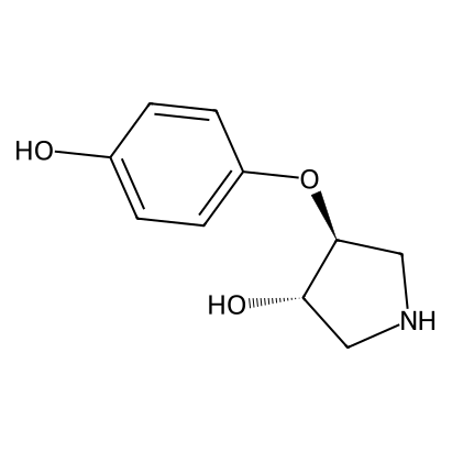 Oc1ccc(O[C@H]2CNC[C@@H]2O)cc1